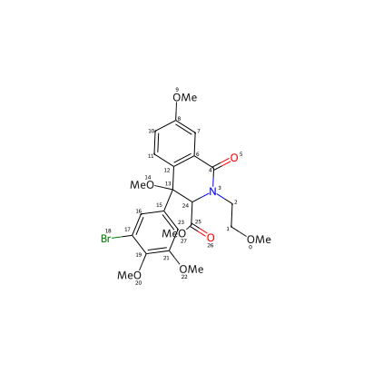 COCCN1C(=O)c2cc(OC)ccc2C(OC)(c2cc(Br)c(OC)c(OC)c2)C1C(=O)OC